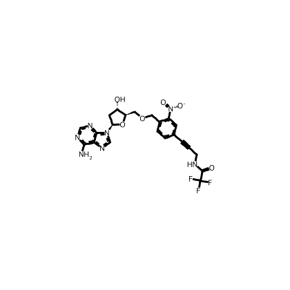 Nc1ncnc2c1ncn2[C@H]1C[C@H](O)[C@@H](COCc2ccc(C#CCNC(=O)C(F)(F)F)cc2[N+](=O)[O-])O1